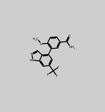 COc1ccc(C(N)=O)cc1-c1cc(C(F)(F)F)cc2[nH]ncc12